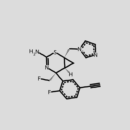 C#Cc1ccc(F)c([C@@]2(CF)N=C(N)S[C@@]3(Cn4ccnc4)C[C@H]32)c1